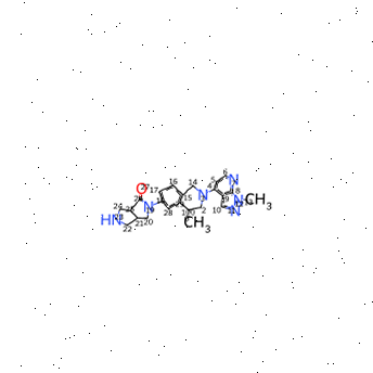 C[C@H]1CN(c2ccnc3c2cnn3C)Cc2ccc(N3CC4CNCC4C3=O)cc21